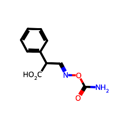 NC(=O)ON=CC(C(=O)O)c1ccccc1